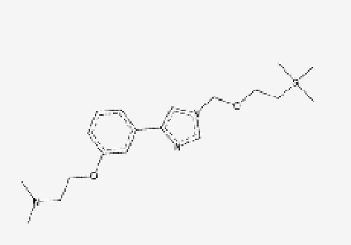 CN(C)CCOc1cccc(-c2cn(COCC[Si](C)(C)C)cn2)c1